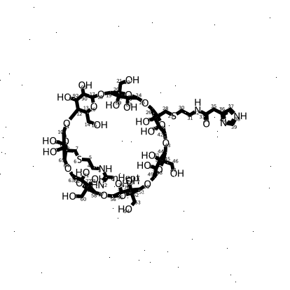 CCCCCCCC(=N)NCCSCC1OC2OC3C(CO)OC(OC4C(CO)OC(OC5C(CSCCNC(=O)Cc6c[nH]cn6)OC(OC6C(CO)OC(OC7C(CO)OC(OC8C(CO)OC(OC1C(O)C2O)C(O)C8O)C(O)C7O)C(O)C6O)C(O)C5O)C(O)C4O)C(O)C3O